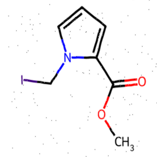 COC(=O)c1cccn1CI